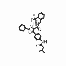 CC(C)CC(=O)Nc1ccc(-c2oc(-c3ccccc3)nc2C(=O)NCc2ccccc2C(F)(F)F)cc1